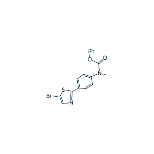 CC(C)OC(=O)N(C)c1ccc(-c2ncc(Br)s2)cc1